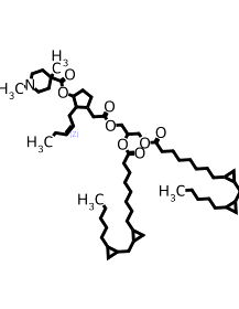 CC/C=C\CC1C(CC(=O)OCC(COC(=O)CCCCCCCC2CC2CC2CC2CCCCC)OC(=O)CCCCCCCC2CC2CC2CC2CCCCC)CCC1OC(=O)C1(C)CCN(C)CC1